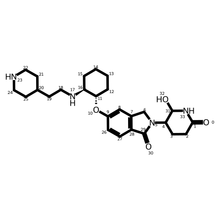 O=C1CCC(N2Cc3cc(O[C@H]4CCCC[C@@H]4NCCC4CCNCC4)ccc3C2=O)C(O)N1